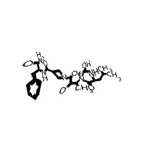 CC(C)CC(NC(=O)O)C(=O)NC(C)C(=O)C(=O)N1CC(C(=O)NC(Cc2ccccc2)C(N)=O)C1